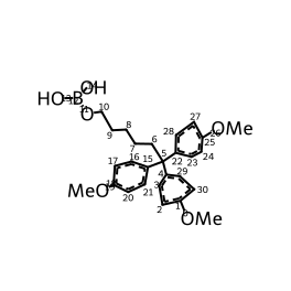 COc1ccc(C(CCCCCOB(O)O)(c2ccc(OC)cc2)c2ccc(OC)cc2)cc1